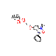 C=CC(=O)OCCCCOc1ccc2c(c1)/C=C(/c1ccccc1)COCN2C(C)C